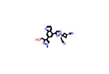 Cn1cc(-c2cc(-c3cnn([C@]4(CC#N)C[C@@H](C#N)C4)n3)c3cccnc3c2)c(CO)n1